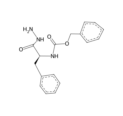 NNC(=O)[C@H](Cc1ccccc1)NC(=O)OCc1ccccc1